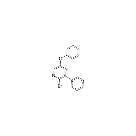 Brc1ncc(Oc2ccccc2)nc1-c1ccccc1